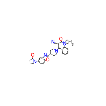 Cn1c(=O)c(C#N)c(N2CCC(c3nc4cc(N5CCCC5=O)ccc4o3)CC2)c2ccccc21